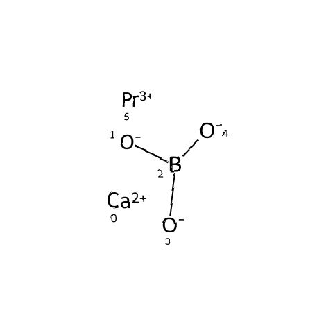 [Ca+2].[O-]B([O-])[O-].[Pr+3]